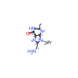 Cc1nc2c(nc(CN)n2C(C)C)c(=O)[nH]1